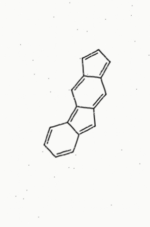 [C]1=CC=c2cc3c(cc21)=c1ccccc1=C3